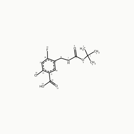 CC(C)(C)OC(=O)NCc1cc(C(=O)O)c(Cl)cc1F